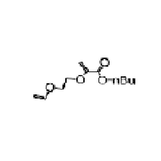 C=COCCOC(=C)C(=O)OCCCC